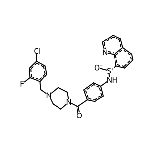 O=C(c1ccc(N[S+]([O-])c2cccc3cccnc23)cc1)N1CCN(Cc2ccc(Cl)cc2F)CC1